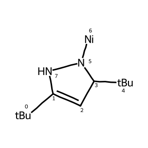 CC(C)(C)C1=CC(C(C)(C)C)[N]([Ni])N1